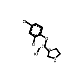 OC[C@H](Oc1ccc(Cl)cc1Cl)[C@H]1CCNC1